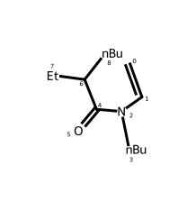 C=CN(CCCC)C(=O)C(CC)CCCC